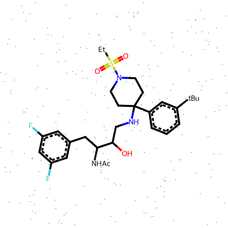 CCS(=O)(=O)N1CCC(NCC(O)C(Cc2cc(F)cc(F)c2)NC(C)=O)(c2cccc(C(C)(C)C)c2)CC1